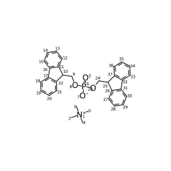 C[N+](C)(C)C.O=P([O-])(OCC1c2ccccc2-c2ccccc21)OCC1c2ccccc2-c2ccccc21